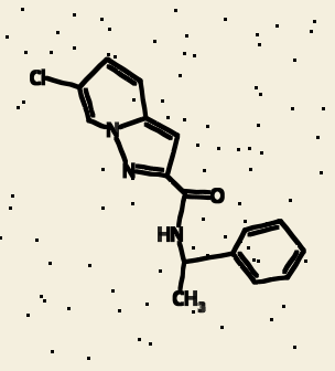 CC(NC(=O)c1cc2ccc(Cl)cn2n1)c1ccccc1